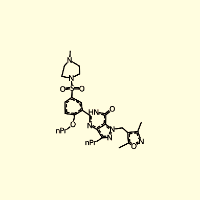 CCCOc1ccc(S(=O)(=O)N2CCN(C)CC2)cc1-c1nc2c(CCC)nn(Cc3c(C)noc3C)c2c(=O)[nH]1